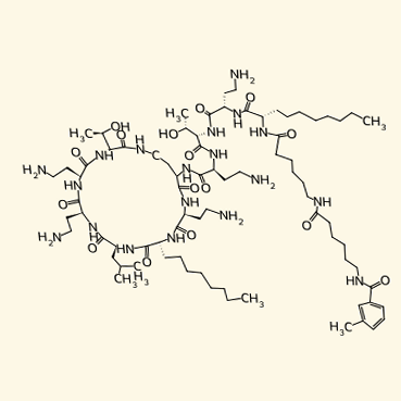 CCCCCCCC[C@H](NC(=O)CCCCCNC(=O)CCCCCNC(=O)c1cccc(C)c1)C(=O)N[C@@H](CCN)C(=O)N[C@H](C(=O)N[C@@H](CCN)C(=O)NC1CCNC(=O)[C@H]([C@@H](C)O)NC(=O)[C@H](CCN)NC(=O)[C@H](CCN)NC(=O)[C@H](CC(C)C)NC(=O)[C@@H](CCCCCCCC)NC(=O)[C@H](CCN)NC1=O)[C@@H](C)O